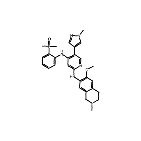 COc1cc2c(cc1Nc1ncc(-c3cnn(C)c3)c(Nc3ccccc3P(C)(C)=O)n1)CN(C)CC2